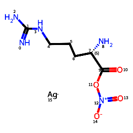 N=C(N)NCCC[C@H](N)C(=O)O[N+](=O)[O-].[Ag]